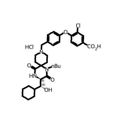 CCCCN1C(=O)[C@@H]([C@H](O)C2CCCCC2)NC(=O)C12CCN(Cc1ccc(Oc3ccc(C(=O)O)cc3Cl)cc1)CC2.Cl